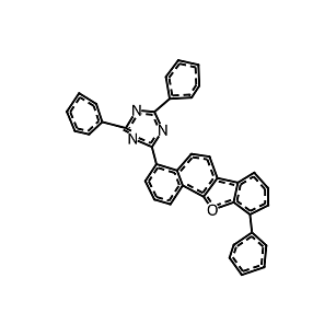 c1ccc(-c2nc(-c3ccccc3)nc(-c3cccc4c3ccc3c5cccc(-c6ccccc6)c5oc43)n2)cc1